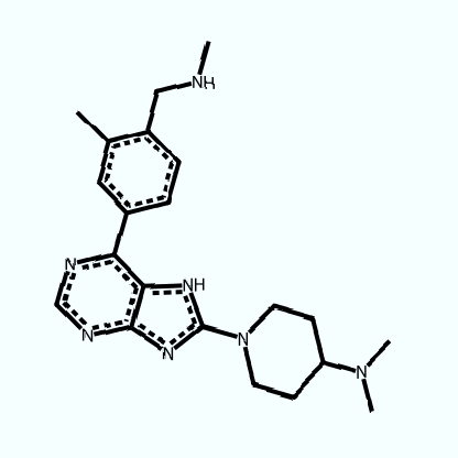 CNCc1ccc(-c2ncnc3nc(N4CCC(N(C)C)CC4)[nH]c23)cc1C